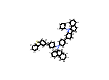 c1ccc(-n2c3cc(-c4ccc(N(c5ccc(-c6ccc7sc8ccccc8c7c6)cc5)c5cc6ccccc6c6ccccc56)cc4)ccc3c3ccc4ccccc4c32)cc1